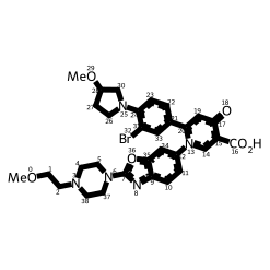 COCCN1CCN(c2nc3ccc(-n4cc(C(=O)O)c(=O)cc4-c4ccc(N5CCC(OC)C5)c(Br)c4)cc3o2)CC1